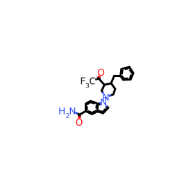 NC(=O)c1ccc2c(ccn2N2CCC(Cc3ccccc3)C(C(=O)C(F)(F)F)C2)c1